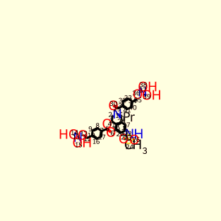 CC(C)N(CC(OC(=O)c1ccc(CON(O)O)cc1)c1ccc(NS(C)(=O)=O)cc1)C(=O)c1ccc(CON(O)O)cc1